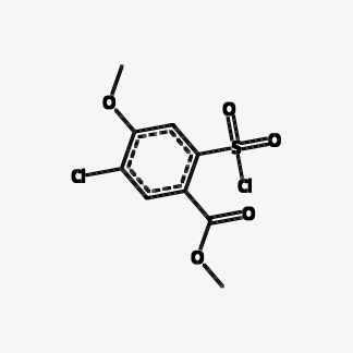 COC(=O)c1cc(Cl)c(OC)cc1S(=O)(=O)Cl